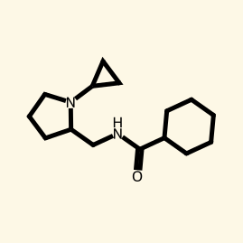 O=C(NCC1CCCN1C1CC1)C1CCCCC1